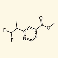 COC(=O)c1ccnc(C(C)C(F)F)c1